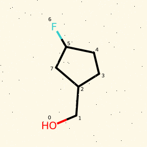 OCC1CCC(F)C1